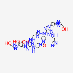 Cn1cnc(CCNc2nc(NC3CCN(C(=O)N4CCC(Nc5nc(NCCc6cn(C)cn6)nc6c5ncn6[C@@H]5C[C@H](n6ncc(CO)n6)[C@@H](O)[C@H]5O)CC4)CC3)c3ncn([C@H]4CC[C@@H](n5ncc(CO)n5)C4)c3n2)c1